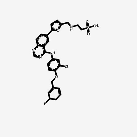 CS(=O)(=O)CCNCc1ccc(-c2ccc3ncnc(Nc4ccc(OCC5=CC(F)CC=C5)c(Cl)c4)c3c2)o1